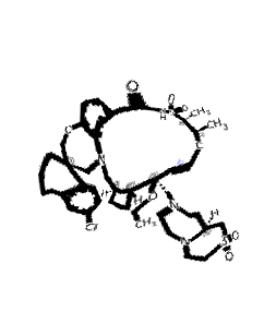 CCO[C@]1(CN2CCN3CCS(=O)(=O)C[C@@H]3C2)/C=C/C[C@H](C)[C@@H](C)S(=O)(=O)NC(=O)c2ccc3c(c2)N(C[C@@H]2CC[C@H]21)C[C@@]1(CCCc2cc(Cl)ccc21)CO3